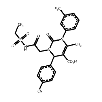 CC1=C(C(=O)O)C(c2ccc(C#N)cc2)N(CC(=O)NS(=O)(=O)CC(F)(F)F)C(=O)N1c1cccc(C(F)(F)F)c1